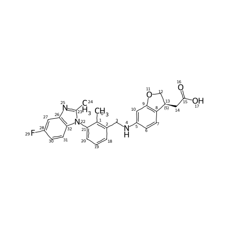 Cc1c(CNc2ccc3c(c2)OC[C@H]3CC(=O)O)cccc1-n1c(C)nc2cc(F)ccc21